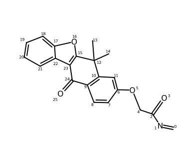 C=NC(=O)COc1ccc2c(c1)C(C)(C)c1oc3ccccc3c1C2=O